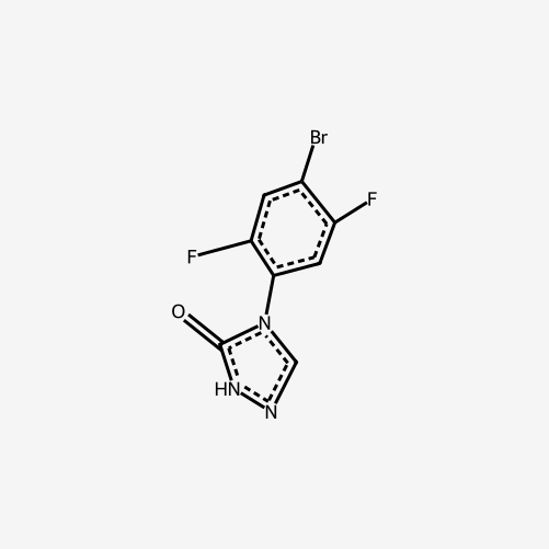 O=c1[nH]ncn1-c1cc(F)c(Br)cc1F